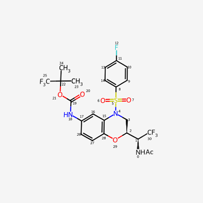 CC(=O)N[C@@H]([C@@H]1CN(S(=O)(=O)c2ccc(F)cc2)c2cc(NC(=O)OC(C)(C)C(F)(F)F)ccc2O1)C(F)(F)F